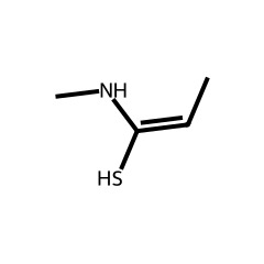 C/C=C(/S)NC